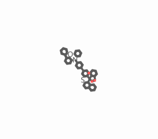 c1ccc(N(c2ccc(-c3ccc4c(c3)Sc3ccc5ccccc5c3C43c4ccccc4-c4ccccc43)cc2)c2cccc3c2oc2ccccc23)cc1